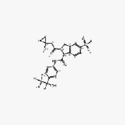 CC(O)(c1ccc(NC(=O)C2c3ccc(S(C)(=O)=O)cc3CN2C(=O)CC2(O)CC2)cc1)C(F)(F)F